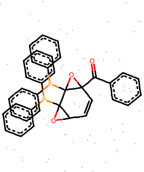 O=C(c1ccccc1)C12C=CC3OC3(P(c3ccccc3)c3ccccc3)C1(P(c1ccccc1)c1ccccc1)O2